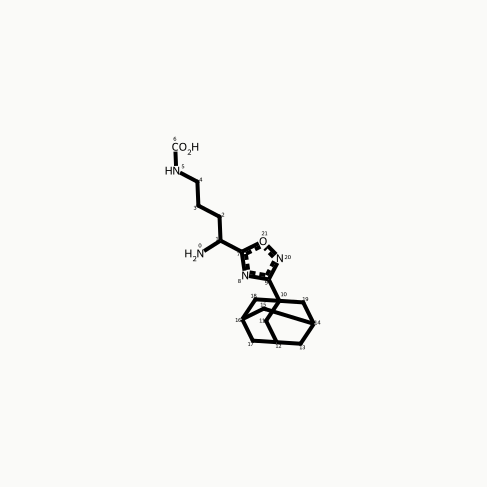 NC(CCCNC(=O)O)c1nc(C23CC4CC(CC(C4)C2)C3)no1